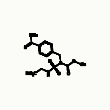 CCOC(=O)CNS(=O)(=O)N(Cc1ccc(C(=O)OC)cc1)C(=O)OC(C)(C)C